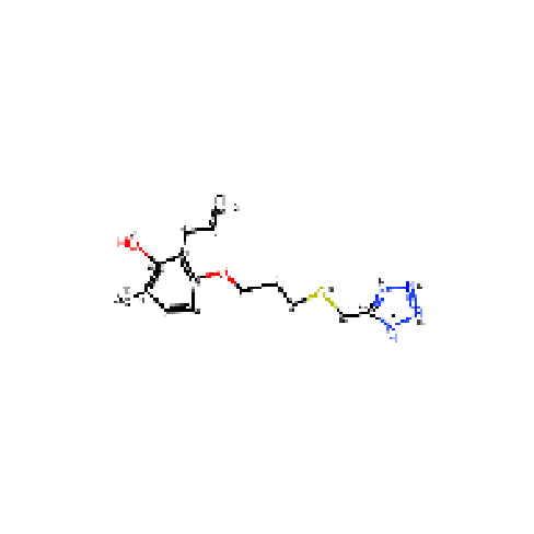 C=CCc1c(OCCCSCc2nnn[nH]2)ccc(C(C)=O)c1O